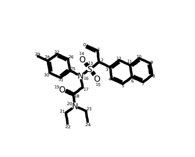 C=CC(c1ccc2ccccc2c1)S(=O)(=O)N(CC(=O)N(CC)CC)c1ccc(C)cc1